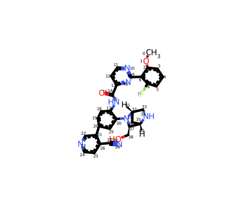 COc1cccc(F)c1-c1nccc(C(=O)Nc2ccc(-c3cnccc3C#N)cc2N2[C@@H]3CN[C@@H](C3)[C@H]2CO)n1